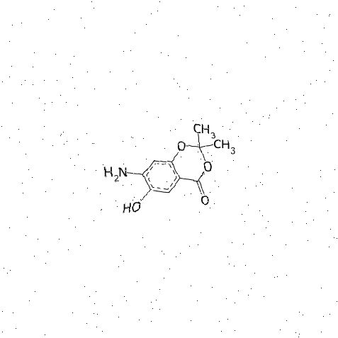 CC1(C)OC(=O)c2cc(O)c(N)cc2O1